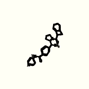 NC(c1ccc(C(=O)Nc2ccncc2)cc1)C1CCCN1C(=O)C1Cc2ccccc21